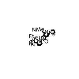 CCC(CC)n1cnnc1-c1cccc(N2Cc3c(cc(N4CCC[C@@H]4C)nc3CNC)C2=O)n1